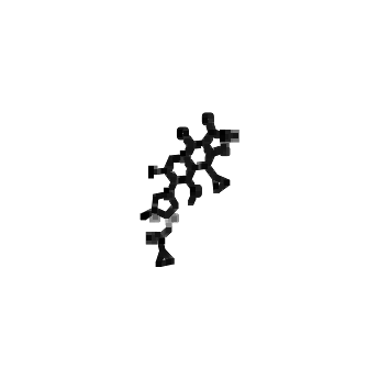 COc1c(N2C[C@H](CNC3CC3)[C@@H](C)C2)c(F)cn2c(=O)c3c(=O)[nH]sc3c(C3CC3)c12